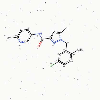 Cc1cc(C(=O)Nc2ccc(C#N)nc2)nn1Cc1cc(Cl)ccc1OCC(C)C